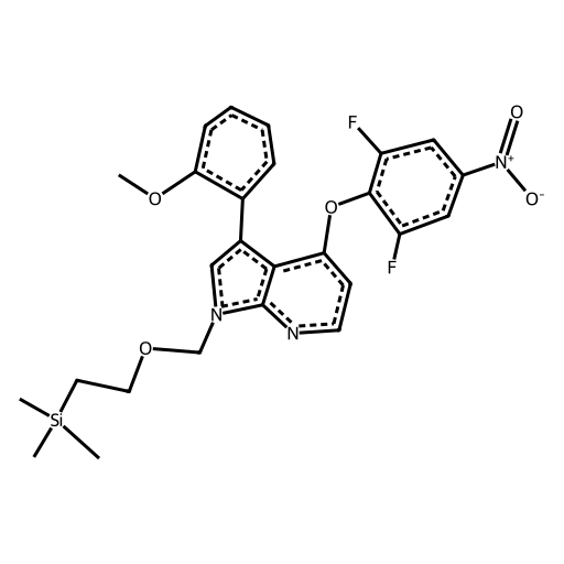 COc1ccccc1-c1cn(COCC[Si](C)(C)C)c2nccc(Oc3c(F)cc([N+](=O)[O-])cc3F)c12